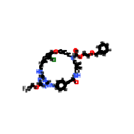 CC1(C)CNC(=O)c2ccc(cc2)Nc2nc(nc(OCC(F)(F)F)n2)NCc2ccc(c(Cl)c2)OCCCN(C(=O)OCCOCc2ccccc2)C1